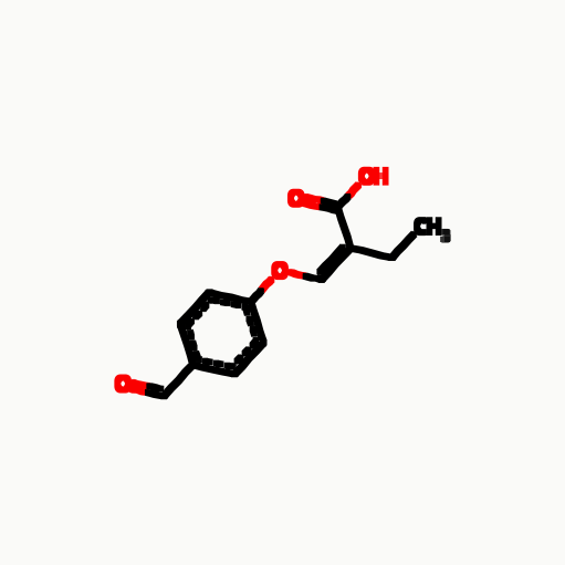 CCC(=COc1ccc(C=O)cc1)C(=O)O